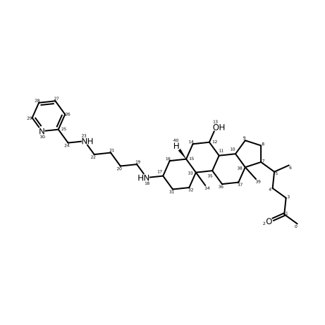 CC(=O)CCC(C)C1CCC2C3C(O)C[C@H]4CC(NCCCCNCc5ccccn5)CCC4(C)C3CCC12C